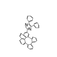 c1ccc(-c2ncc(-c3cc4ccc5cccc6c7ccccc7c7ccccc7c(c3)c4c56)nc2-c2ccccc2)cc1